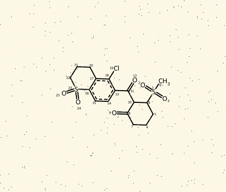 CS(=O)(=O)C1CCCC(=O)C1C(=O)c1ccc2c(c1Cl)CCCS2(=O)=O